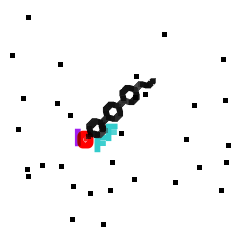 CCCC1CCC(C2CCC(c3ccc(OI)c(F)c3F)CC2)CC1